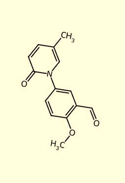 COc1ccc(-n2cc(C)ccc2=O)cc1C=O